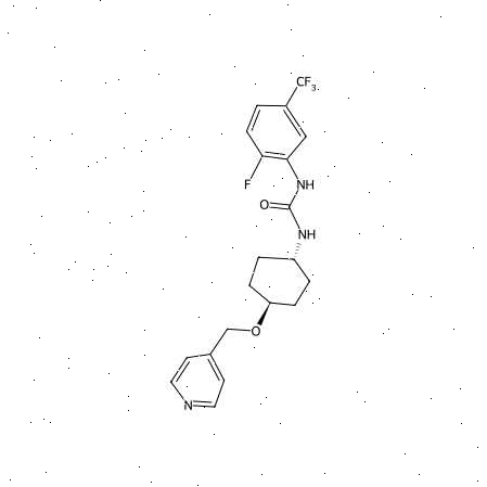 O=C(Nc1cc(C(F)(F)F)ccc1F)N[C@H]1CC[C@H](OCc2ccncc2)CC1